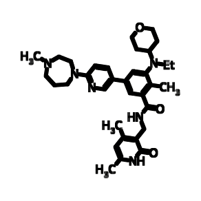 CCN(c1cc(-c2ccc(N3CCCN(C)CC3)nc2)cc(C(=O)NCc2c(C)cc(C)[nH]c2=O)c1C)C1CCOCC1